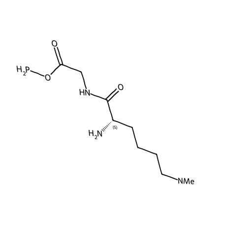 CNCCCC[C@H](N)C(=O)NCC(=O)OP